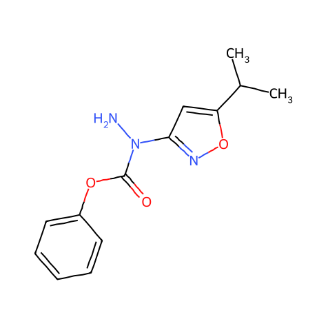 CC(C)c1cc(N(N)C(=O)Oc2ccccc2)no1